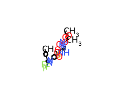 CCC(=O)OC(C)O/N=[N+](/[O-])N1CC[C@H]1C(=O)NS(=O)(=O)c1ccc(-n2nc(C(F)(F)F)cc2-c2ccc(C)cc2)cc1